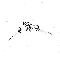 CCCCCCCCCCCCOC(=O)CCc1cc(C(C)(C)C)c(OC(c2c(C(C)(C)C)cc(CCC(=O)OCCCCCCCCCCCC)cc2C(C)(C)C)C(CO)(CO)CO)c(C(C)(C)C)c1